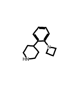 c1ccc(N2CCC2)c(C2CCNCC2)c1